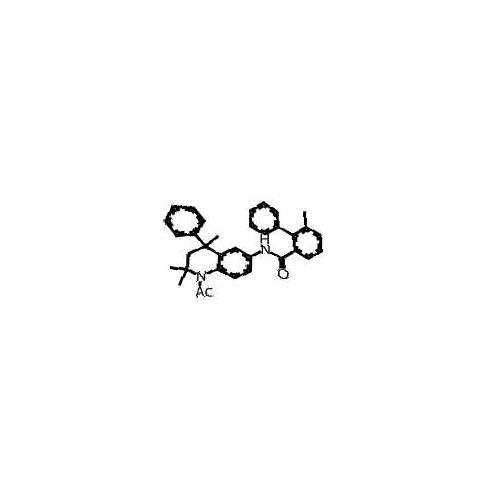 CC(=O)N1c2ccc(NC(=O)c3cccc(C)c3-c3ccccc3)cc2C(C)(c2ccccc2)CC1(C)C